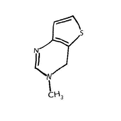 CN1C=Nc2ccsc2C1